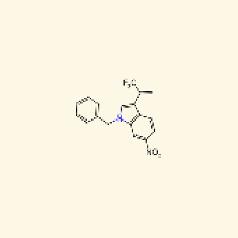 C=C(c1cn(Cc2ccccc2)c2cc([N+](=O)[O-])ccc12)C(F)(F)F